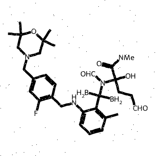 BC(B)(c1c(C)cccc1NCc1ccc(CN2CC(C)(C)OC(C)(C)C2)cc1F)N(C=O)C(O)(CCC=O)C(=O)NC